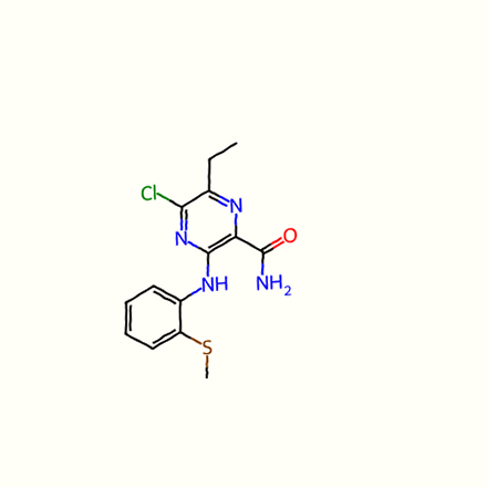 CCc1nc(C(N)=O)c(Nc2ccccc2SC)nc1Cl